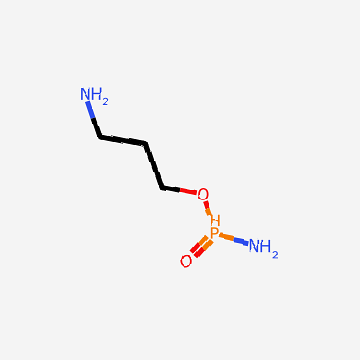 NCCCO[PH](N)=O